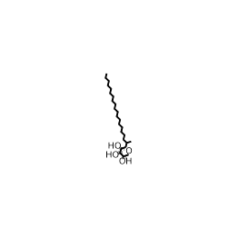 CCCCCCCCCCCCCCCCCCC(C)C1OC[C@@H](O)[C@H](O)[C@H]1O